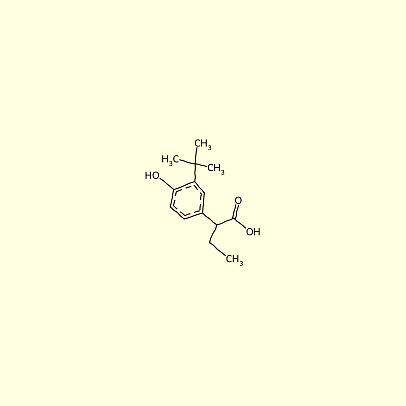 CCC(C(=O)O)c1ccc(O)c(C(C)(C)C)c1